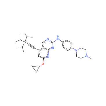 CC(C)[Si](C#Cc1cc(OC2CC2)nc2nc(Nc3ccc(N4CCN(C)CC4)cc3)ncc12)(C(C)C)C(C)C